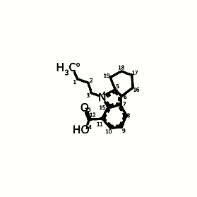 CCCCn1c2c(c3cccc(C(=O)O)c31)CCCC2